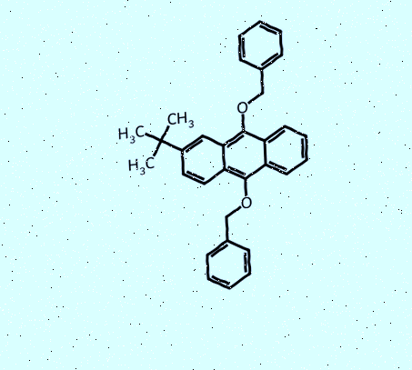 CC(C)(C)c1ccc2c(OCc3ccccc3)c3ccccc3c(OCc3ccccc3)c2c1